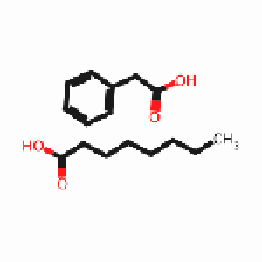 CCCCCCCC(=O)O.O=C(O)Cc1ccccc1